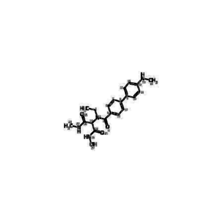 CCN(C(=O)c1ccc(-c2ccc(NC)cc2)cc1)C(C(=O)NC)C(=O)NO